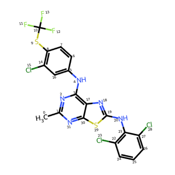 Cc1nc(Nc2ccc(SC(F)(F)F)c(Cl)c2)c2nc(Nc3c(Cl)cccc3Cl)sc2n1